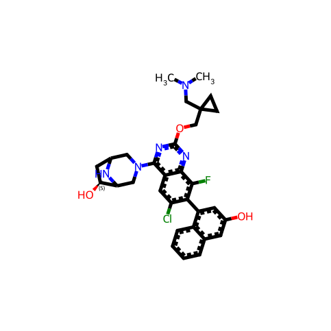 CN(C)CC1(COc2nc(N3CC4C[C@H](O)C(C3)N4)c3cc(Cl)c(-c4cc(O)cc5ccccc45)c(F)c3n2)CC1